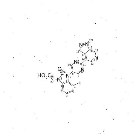 Cc1cccc2c1n(-c1cnc(-c3cncc4c3cnn4C)nc1)c(=O)n2CC(=O)O